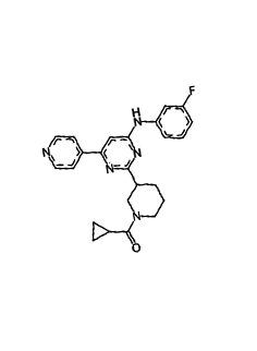 O=C(C1CC1)N1CCCC(c2nc(Nc3cccc(F)c3)cc(-c3ccncc3)n2)C1